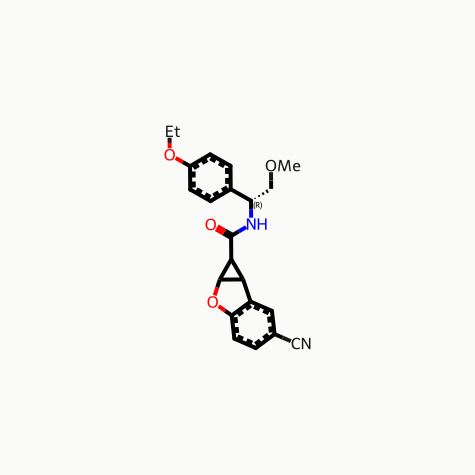 CCOc1ccc([C@H](COC)NC(=O)C2C3Oc4ccc(C#N)cc4C32)cc1